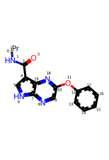 CC(C)NC(=O)c1c[nH]c2ncc(Oc3ccccc3)nc12